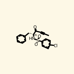 CC#CC(=O)[C@@H](Cc1ccccc1)NS(=O)(=O)c1ccc(Cl)cc1